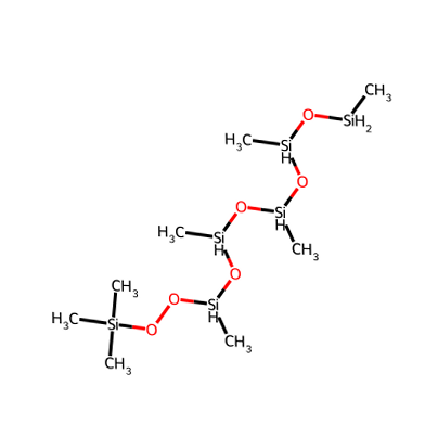 C[SiH2]O[SiH](C)O[SiH](C)O[SiH](C)O[SiH](C)OO[Si](C)(C)C